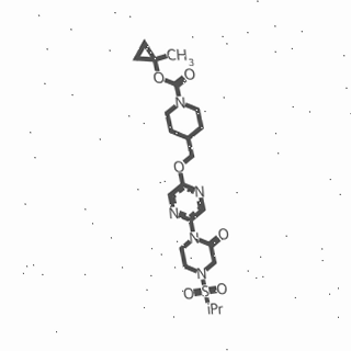 CC(C)S(=O)(=O)N1CCN(c2cnc(OCC3CCN(C(=O)OC4(C)CC4)CC3)cn2)C(=O)C1